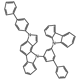 c1ccc(-c2ccc(-n3ccc4c3ccc3c5ccccc5n(-c5cc(-c6ccccc6)cc(-n6c7ccccc7c7ccccc76)c5)c34)cc2)cc1